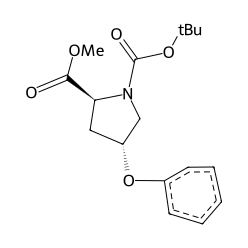 COC(=O)[C@@H]1C[C@@H](Oc2ccccc2)CN1C(=O)OC(C)(C)C